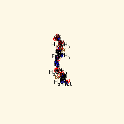 CCN(CC)C(=O)[C@@H]1C=C2c3cccc4c3c(c(Br)n4S(=O)(=O)OCC(C)(C)C(=O)OCCN3CCN(CCCN(CC)C(=O)[C@@H]4C=C5c6cccc7c6c(c(Br)n7S(=O)(=O)OCC(C)(C)C(=O)OCCN6CCOCC67COC7)C[C@H]5N(C)C4)CC3)C[C@H]2N(C)C1